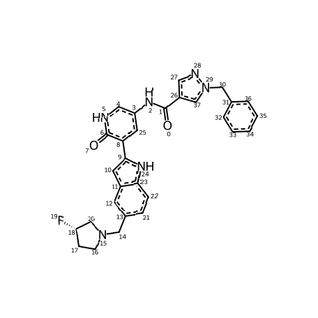 O=C(Nc1c[nH]c(=O)c(-c2cc3cc(CN4CC[C@H](F)C4)ccc3[nH]2)c1)c1cnn(Cc2ccccc2)c1